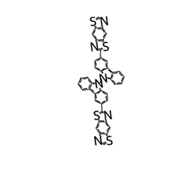 c1ccc2c(c1)c1cc(-c3nc4cc5scnc5cc4s3)ccc1n2-n1c2ccccc2c2cc(-c3nc4cc5scnc5cc4s3)ccc21